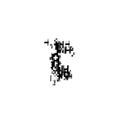 CC(C(=O)Nc1cc2cc(/C(N)=C/N(C)N)ccc2cn1)N1CCCC1